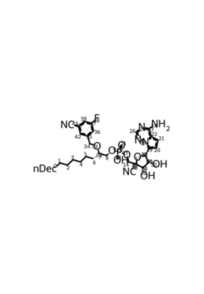 CCCCCCCCCCCCCCCC[C@@H](COP(=O)(O)OC[C@@]1(C#N)O[C@@H](c2ccc3c(N)ncnn23)[C@H](O)[C@@H]1O)OCc1cc(F)cc(C#N)c1